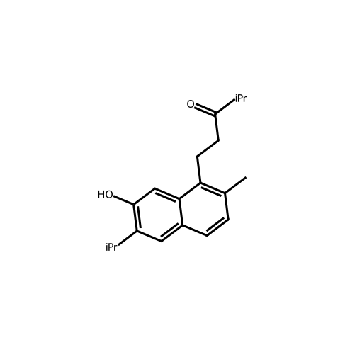 Cc1ccc2cc(C(C)C)c(O)cc2c1CCC(=O)C(C)C